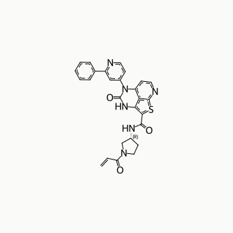 C=CC(=O)N1CC[C@@H](NC(=O)c2sc3nccc4c3c2NC(=O)N4c2ccnc(-c3ccccc3)c2)C1